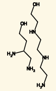 NCC(N)CCO.NCCNCCNCCO